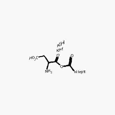 CCCCCCCC(=O)OC(=O)C(N)CC(=O)O.[KH].[KH]